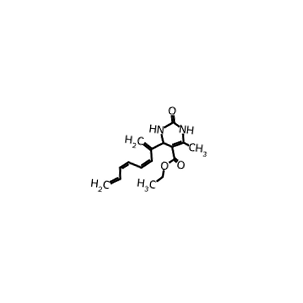 C=C/C=C\C=C/C(=C)C1NC(=O)NC(C)=C1C(=O)OCC